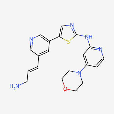 NC/C=C/c1cncc(-c2cnc(Nc3cc(N4CCOCC4)ccn3)s2)c1